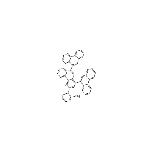 N#Cc1ccccc1-c1cc(-c2cc3ccccc3c3ccccc23)c2cc(-c3cc4ccccc4c4ccccc34)c3ccccc3c2n1